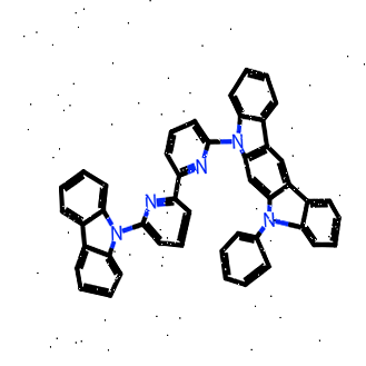 c1ccc(-n2c3ccccc3c3cc4c5ccccc5n(-c5cccc(-c6cccc(-n7c8ccccc8c8ccccc87)n6)n5)c4cc32)cc1